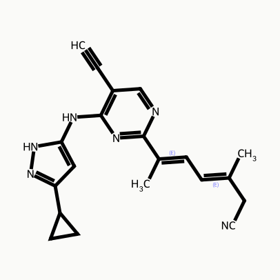 C#Cc1cnc(/C(C)=C/C=C(\C)CC#N)nc1Nc1cc(C2CC2)n[nH]1